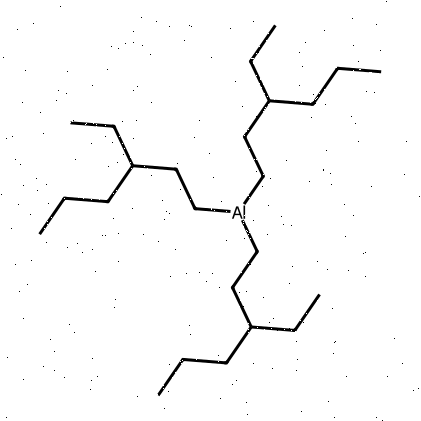 CCCC(CC)C[CH2][Al]([CH2]CC(CC)CCC)[CH2]CC(CC)CCC